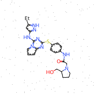 CCc1cc(Nc2nc(Sc3ccc(NC(=O)CN4CCCC4CO)cc3)nc3cccn23)n[nH]1